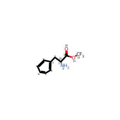 N[C@@H](Cc1ccccc1)C(=O)OC(F)(F)F